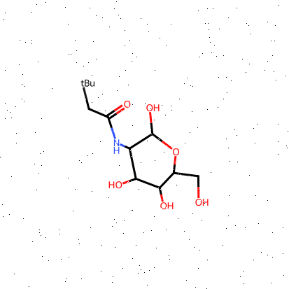 CC(C)(C)CC(=O)NC1C(O)OC(CO)C(O)C1O